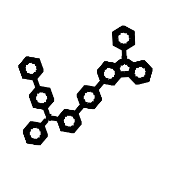 c1ccc(-c2ccc(N(c3ccccc3)c3cccc(-c4ccc(-c5ccc6c(c5)c5ccccc5n6-c5ccccc5)cc4)c3)cc2)cc1